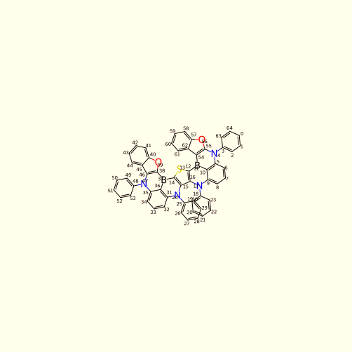 c1ccc(N2c3cccc4c3B(c3sc5c(c3N4c3ccccc3)N(c3ccccc3)c3cccc4c3B5c3oc5ccccc5c3N4c3ccccc3)c3c2oc2ccccc32)cc1